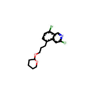 Clc1cc2c(CCCOC3CCCCO3)ccc(Br)c2cn1